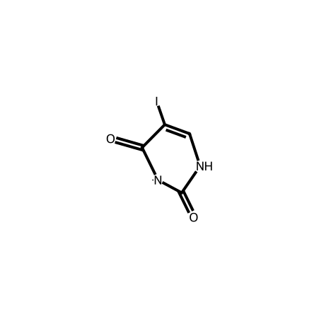 O=C1[N]C(=O)C(I)=CN1